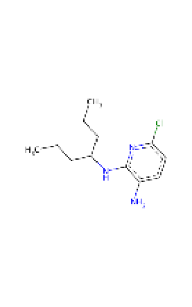 CCCC(CCC)Nc1nc(Cl)ccc1N